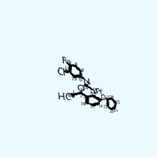 C#CC(OC(=Nc1ccc(F)c(Cl)c1)C(C)C)c1cccc(Oc2ccccc2)c1